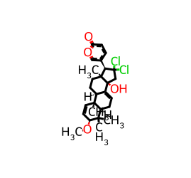 CO[C@H]1C=C[C@]2(C)[C@H]3CC[C@]4(C)[C@@H](c5ccc(=O)oc5)C(Cl)(Cl)C[C@]4(O)C3=CC[C@H]2C1(C)C